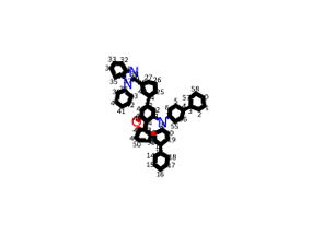 c1ccc(-c2ccc(N(c3ccc(-c4ccccc4)cc3)c3cc(-c4cccc(-c5nc6ccccc6n5-c5ccccc5)c4)cc4oc5ccccc5c34)cc2)cc1